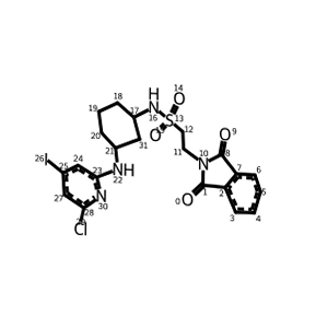 O=C1c2ccccc2C(=O)N1CCS(=O)(=O)NC1CCCC(Nc2cc(I)cc(Cl)n2)C1